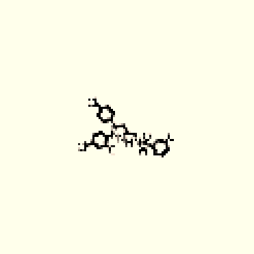 O=S(=O)(NCC1=NN(c2ccc(Cl)cc2Cl)[C@@H](c2ccc(Cl)cc2)C1)c1cccc(Cl)c1